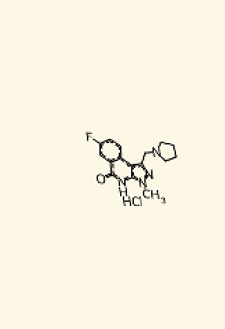 Cl.Cn1nc(CN2CCCC2)c2c3ccc(F)cc3c(=O)[nH]c21